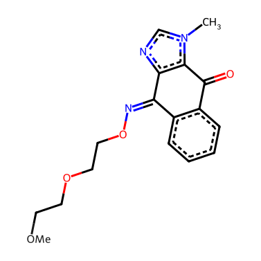 COCCOCCO/N=C1\c2ccccc2C(=O)c2c1ncn2C